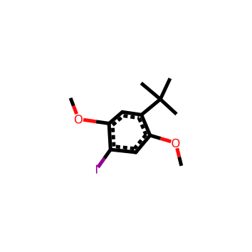 COc1cc(C(C)(C)C)c(OC)cc1I